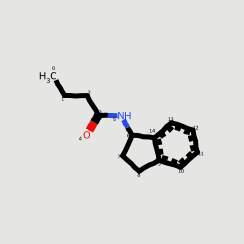 CCCC(=O)NC1CCc2ccccc21